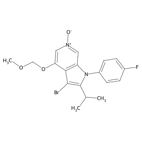 COCOc1c[n+]([O-])cc2c1c(Br)c(C(C)C)n2-c1ccc(F)cc1